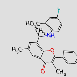 Cc1cc([C@@H](C)Nc2ccc(F)cc2C(=O)O)c2oc(-c3ccccc3)c(C)c(=O)c2c1